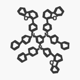 c1ccc(-c2ccc(N(c3ccc(-c4cccc5c4oc4ccccc45)cc3)c3cc(N(c4ccc(-c5ccccc5)cc4)c4ccc(-c5cccc6c5oc5ccccc56)cc4)cc(N(c4ccc(-c5ccccc5)cc4)c4ccc(-c5cccc6c5oc5ccccc56)cc4)c3)cc2)cc1